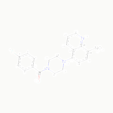 O=C(c1ccc(F)cc1)N1CCN(c2ccc([N+](=O)[O-])c3ncccc23)CC1